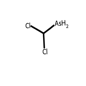 ClC(Cl)[AsH2]